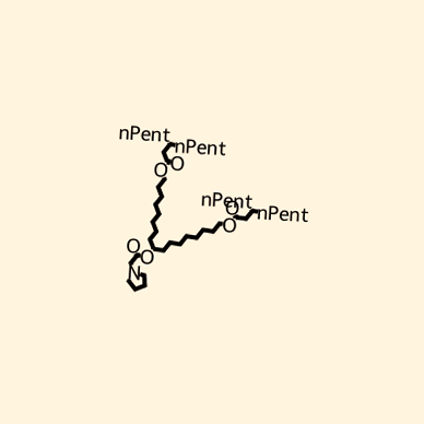 CCCCCC(CCCCC)CC(=O)OCCCCCCCCC(CCCCCCCCOC(=O)CC(CCCCC)CCCCC)OC(=O)CN1CCCC1